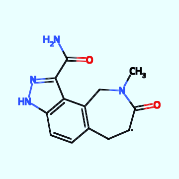 CN1Cc2c(ccc3[nH]nc(C(N)=O)c23)C[CH]C1=O